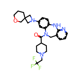 O=C(C1CCN(CC(F)(F)F)CC1)N1Cc2cccnc2Nc2ccc(N3CC4(CCCOC4)C3)cc21